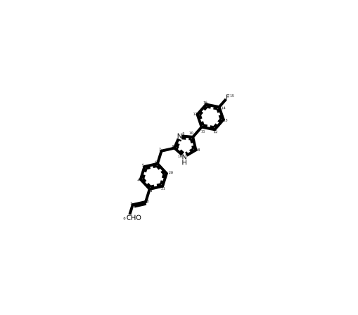 O=C/C=C/c1ccc(Cc2nc(-c3ccc(F)cc3)c[nH]2)cc1